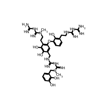 CN(CCc1c(Oc2cccc(CCNC(=N)NC(=N)N)c2O)cc(CNC(=N)NC(=N)N(C)Cc2cccc(O)c2O)c(O)c1O)C(=N)NC(=N)N